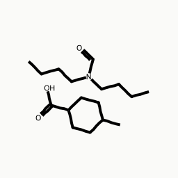 CC1CCC(C(=O)O)CC1.CCCCN(C=O)CCCC